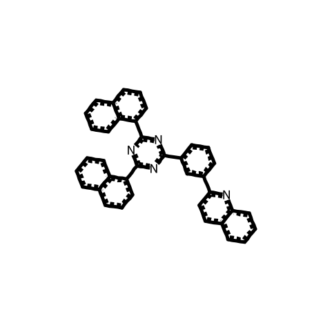 c1cc(-c2ccc3ccccc3n2)cc(-c2nc(-c3cccc4ccccc34)nc(-c3cccc4ccccc34)n2)c1